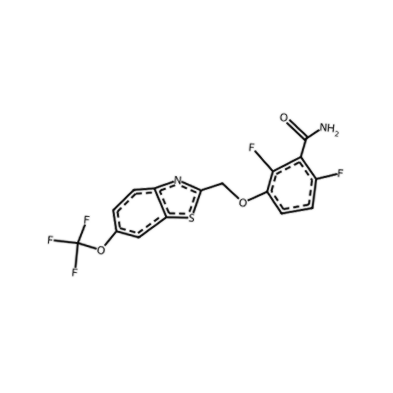 NC(=O)c1c(F)ccc(OCc2nc3ccc(OC(F)(F)F)cc3s2)c1F